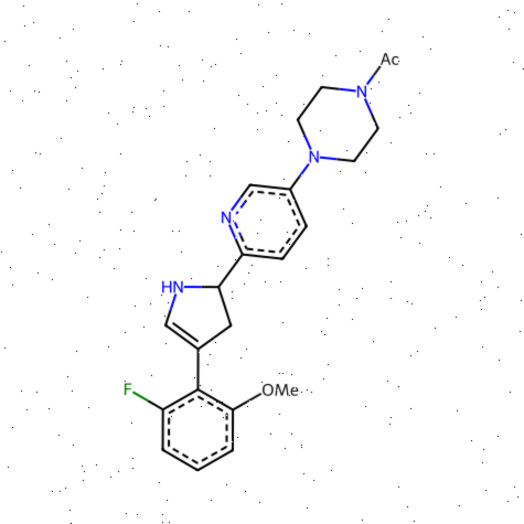 COc1cccc(F)c1C1=CNC(c2ccc(N3CCN(C(C)=O)CC3)cn2)C1